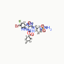 Cc1ccc(C(=O)O/N=C(\Nc2ccc(F)c(Br)c2)c2nonc2NCC2CCCN(S(N)(=O)=O)C2)cc1